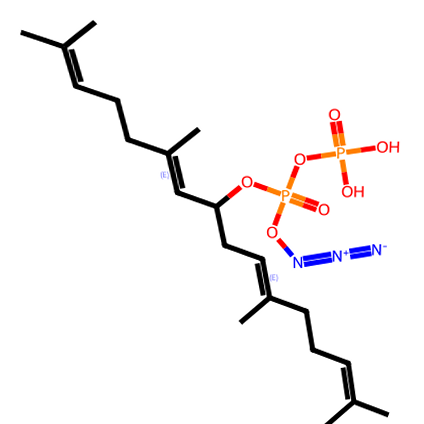 CC(C)=CCC/C(C)=C/CC(/C=C(\C)CCC=C(C)C)OP(=O)(ON=[N+]=[N-])OP(=O)(O)O